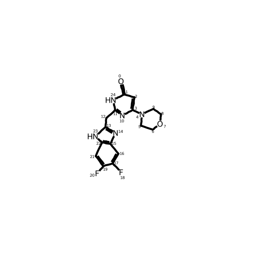 O=c1cc(N2CCOCC2)nc(Cc2nc3cc(F)c(F)cc3[nH]2)[nH]1